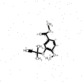 C#CC(C)(C)Oc1cc(C(=O)OC)ccc1OC